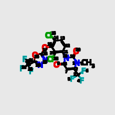 Cn1c(C(F)(F)F)cc(=O)n(-c2ccc(Cl)c(Oc3nnc(C(F)(F)F)o3)c2Cl)c1=O